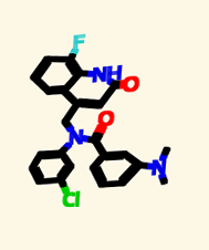 CN(C)c1cccc(C(=O)N(Cc2cc(=O)[nH]c3c(F)cccc23)c2cccc(Cl)c2)c1